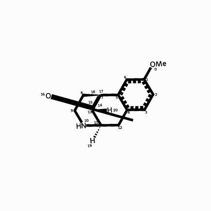 COc1ccc2c(c1)[C@]13CCN[C@H](C2)[C@@H]1CC(=O)CC3